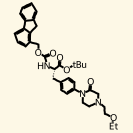 CCOCCN1CCN(c2ccc(C[C@H](NC(=O)OCc3cccc4c3Cc3ccccc3-4)C(=O)OC(C)(C)C)cc2)C(=O)C1